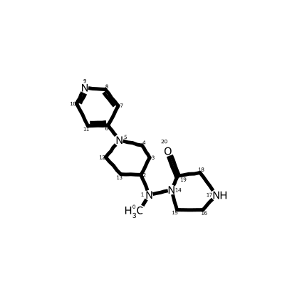 CN(C1CCN(c2ccncc2)CC1)N1CCNCC1=O